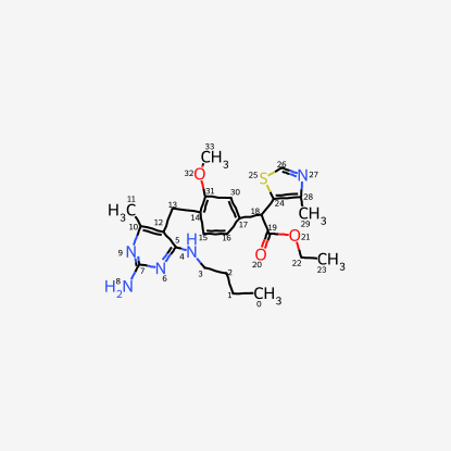 CCCCNc1nc(N)nc(C)c1Cc1ccc(C(C(=O)OCC)c2scnc2C)cc1OC